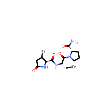 CCC1CC(=O)N[C@@H]1C(=O)N[C@@H](CC(C)C)C(=O)N1CCC[C@H]1C(N)=O